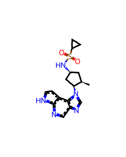 C[C@@H]1C[C@H](NS(=O)(=O)C2CC2)C[C@@H]1n1cnc2cnc3[nH]ccc3c21